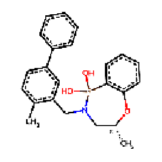 Cc1ccc(-c2ccccc2)cc1CN1C[C@@H](C)Oc2ccccc2S1(O)O